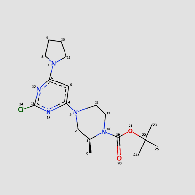 C[C@H]1CN(c2cc(N3CCCC3)nc(Cl)n2)CCN1C(=O)OC(C)(C)C